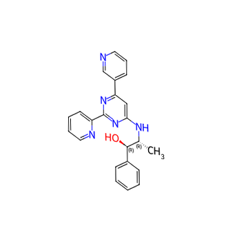 C[C@@H](Nc1cc(-c2cccnc2)nc(-c2ccccn2)n1)[C@H](O)c1ccccc1